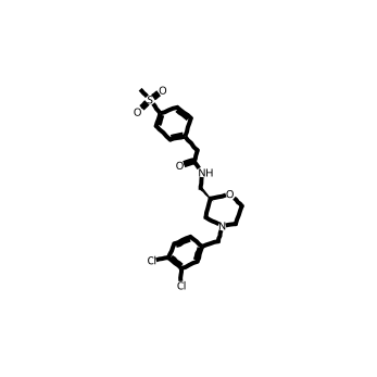 CS(=O)(=O)c1ccc(CC(=O)NC[C@@H]2CN(Cc3ccc(Cl)c(Cl)c3)CCO2)cc1